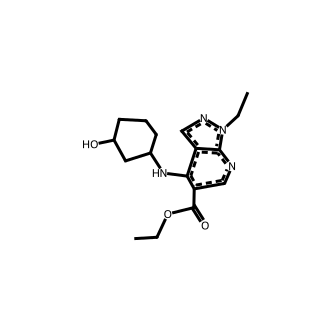 CCOC(=O)c1cnc2c(cnn2CC)c1NC1CCCC(O)C1